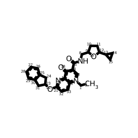 CCn1cc(C(=O)NCC2CCC(C3CC3)O2)c(=O)c2nc(OC3Cc4ccccc4C3)ccc21